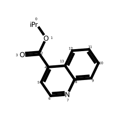 CC(C)OC(=O)c1ccnc2ccccc12